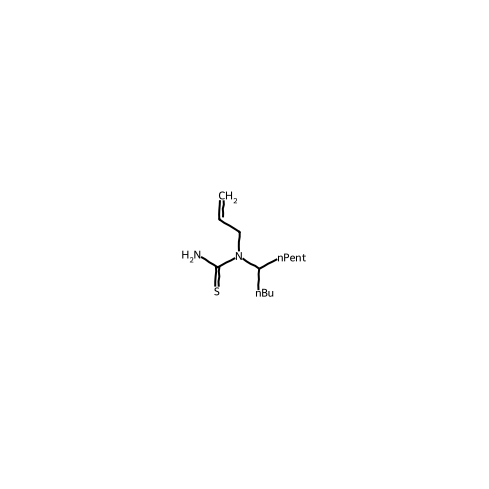 C=CCN(C(N)=S)C(CCCC)CCCCC